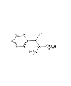 N[C@@H](C(=O)O)C(I)c1ccccc1